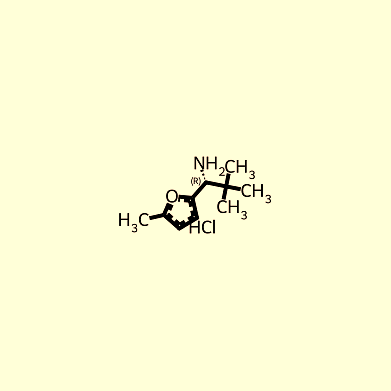 Cc1ccc([C@H](N)C(C)(C)C)o1.Cl